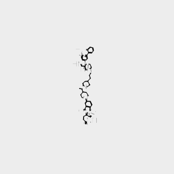 CC(C1CCN(c2ccc3c(c2)C(=O)N(C2CCC(=O)NC2=O)C3=O)CC1)N1CCC(CCCN2CCN3c4cc(-c5ccccc5O)nnc4NC[C@H]3C2)CC1